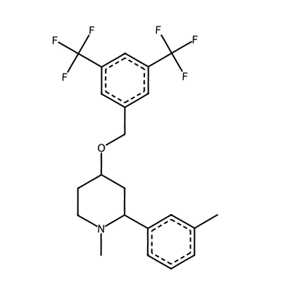 Cc1cccc(C2CC(OCc3cc(C(F)(F)F)cc(C(F)(F)F)c3)CCN2C)c1